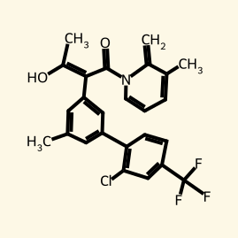 C=C1C(C)=CC=CN1C(=O)/C(=C(\C)O)c1cc(C)cc(-c2ccc(C(F)(F)F)cc2Cl)c1